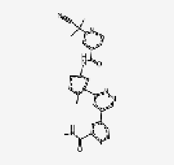 CNC(=O)c1cc(-c2cnnc(-c3cc(NC(=O)c4ccnc(C(C)(C)C#N)c4)ccc3C)c2)ccn1